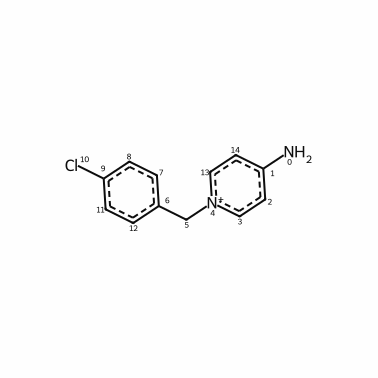 Nc1cc[n+](Cc2ccc(Cl)cc2)cc1